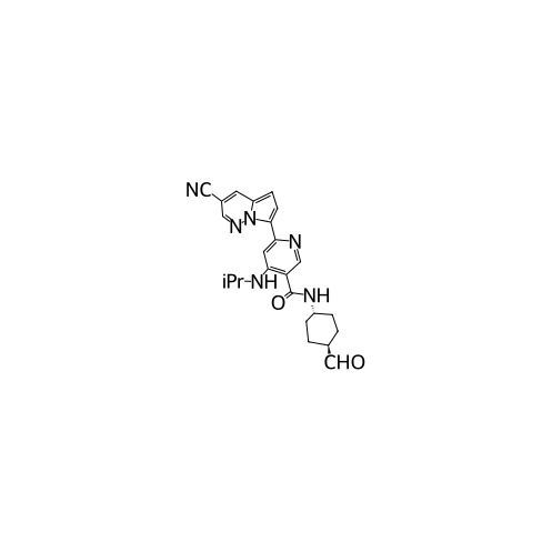 CC(C)Nc1cc(-c2ccc3cc(C#N)cnn23)ncc1C(=O)N[C@H]1CC[C@H](C=O)CC1